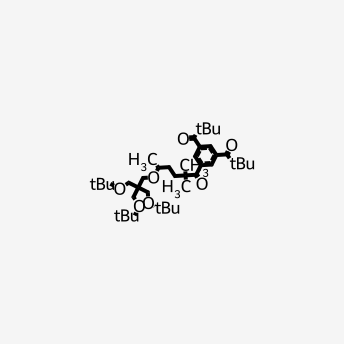 CC(CCC(C)(C)C(=O)c1cc(C(=O)C(C)(C)C)cc(C(=O)C(C)(C)C)c1)OCC(COC(C)(C)C)(COC(C)(C)C)COC(C)(C)C